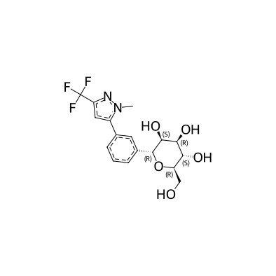 Cn1nc(C(F)(F)F)cc1-c1cccc([C@H]2O[C@H](CO)[C@@H](O)[C@H](O)[C@@H]2O)c1